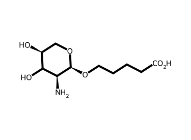 N[C@H]1C(O)[C@@H](O)CO[C@H]1OCCCCC(=O)O